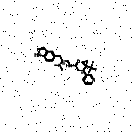 CN(C)[C@H](CNC(=O)C[C@H](c1cccnc1)C1(C(F)(F)F)CC1)Cc1ccc2[nH]ncc2c1